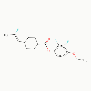 CCOc1ccc(OC(=O)C2CCC(/C=C(/C)F)CC2)c(F)c1F